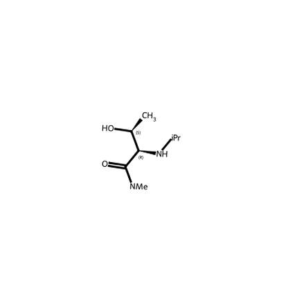 CNC(=O)[C@H](NC(C)C)[C@H](C)O